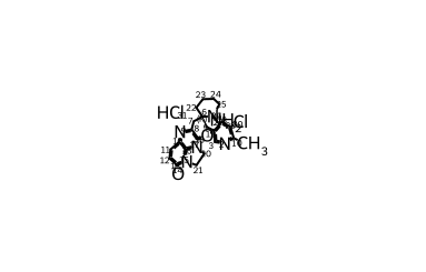 Cc1ncc(C[C@@]2(Cc3nc4ccc(=O)n5c4n(c3=O)CC5)CCCCN2N)cc1Cl.Cl